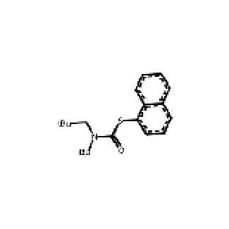 CCC(C)N(CC(C)(C)C)C(=O)Sc1cccc2ccccc12